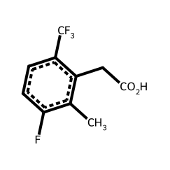 Cc1c(F)ccc(C(F)(F)F)c1CC(=O)O